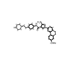 COc1ccc2c(c1)CCc1cnc(-n3cc(C(=O)Nc4ccc(CCN5CCNCC5)cc4)c(N)n3)nc1-2